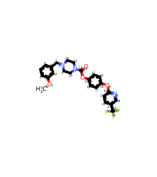 COc1cccc(CN2CCN(C(=O)Oc3ccc(Oc4ccc(C(F)(F)F)cn4)cc3)CC2)c1